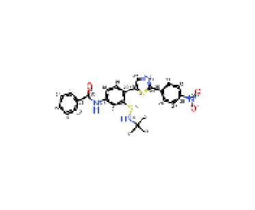 CC(C)(C)NSc1cc(NC(=O)c2ccccc2)ccc1-c1cnc(-c2ccc([N+](=O)[O-])cc2)s1